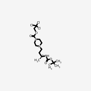 C[C@@H](CCN1CCN(C(=O)OCC(Cl)(Cl)Cl)CC1)NC(=O)OC(C)(C)C